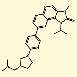 CC(C)n1c(=O)n(C)c2cnc3ccc(-c4ccc(N5CC[C@@H](CN(C)C)C5)nc4)cc3c21